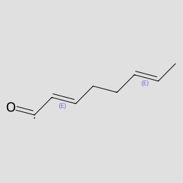 C/C=C/CC/C=C/[C]=O